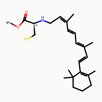 CC(C=CC1=C(C)CCCC1(C)C)=CC=C/C(C)=C\CN[C@@H](CS)C(=O)OC(C)C